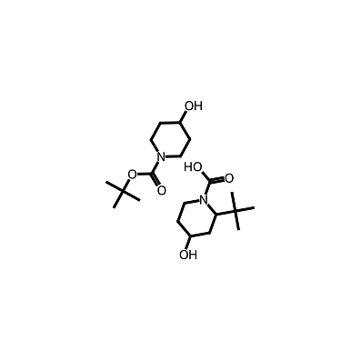 CC(C)(C)C1CC(O)CCN1C(=O)O.CC(C)(C)OC(=O)N1CCC(O)CC1